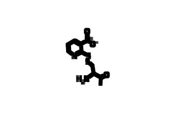 CC(=O)C(N)CSSc1ncccc1[N+](=O)[O-]